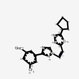 O=Cc1cc(-c2ncn(/C=C\c3nnc(C4CCCC4)o3)n2)cc(C(F)(F)F)c1